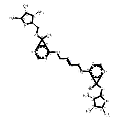 N[C@H]1[C@@H](O)[C@H](N)O[C@@H]1COC1(P)c2ncnc(NC/C=C/CNc3ncnc4c3C4(S)OC3O[C@@H](N)[C@H](O)[C@@H]3N)c21